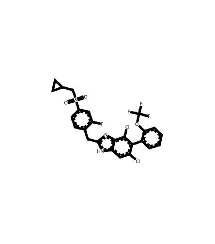 O=S(=O)(CC1CC1)c1ccc(Cc2nc3c(Cl)c(-c4ccccc4OC(F)(F)F)c(Cl)cc3[nH]2)c(F)c1